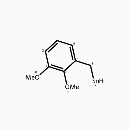 COc1cccc([CH2][SnH])c1OC